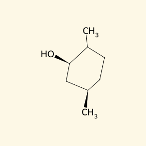 CC1CC[C@@H](C)C[C@H]1O